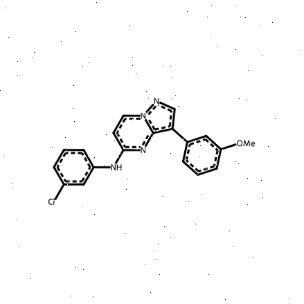 COc1cccc(-c2cnn3ccc(Nc4cccc(Cl)c4)nc23)c1